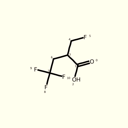 O=C(O)C(CF)CC(F)(F)F